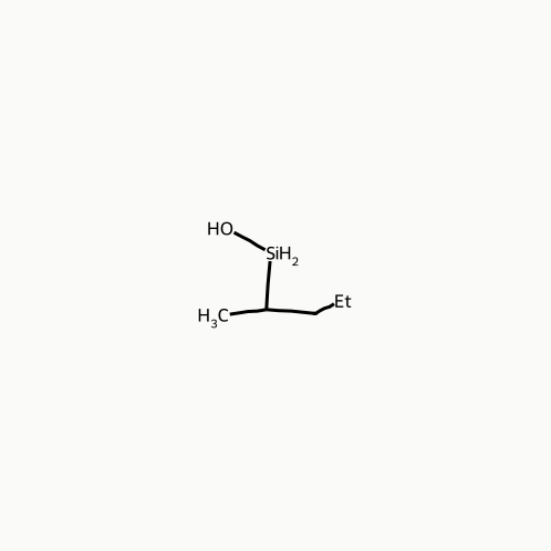 CCCC(C)[SiH2]O